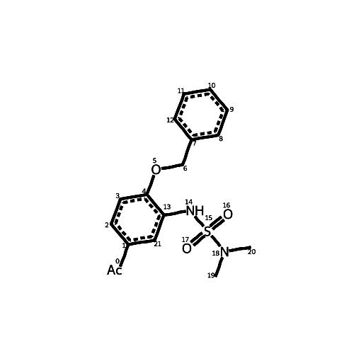 CC(=O)c1ccc(OCc2ccccc2)c(NS(=O)(=O)N(C)C)c1